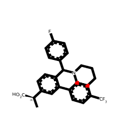 C[C@@H](C(=O)O)c1ccc(C(c2ccc(F)cc2)N2CCCCC2)c(-c2ccc(C(F)(F)F)cc2)c1